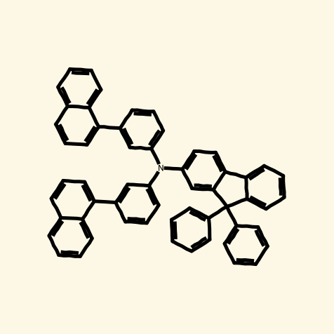 c1ccc(C2(c3ccccc3)c3ccccc3-c3ccc(N(c4cccc(-c5cccc6ccccc56)c4)c4cccc(-c5cccc6ccccc56)c4)cc32)cc1